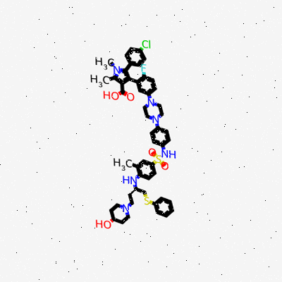 Cc1cc(S(=O)(=O)Nc2ccc(N3CCN(c4ccc(F)c(-c5c(C(=O)O)c(C)n(C)c5-c5ccc(Cl)cc5)c4)CC3)cc2)ccc1N[C@H](CCN1CCC(O)CC1)CSc1ccccc1